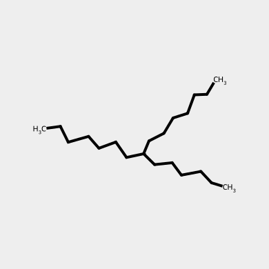 CCCCCCC[C](CCCCCC)CCCCCCC